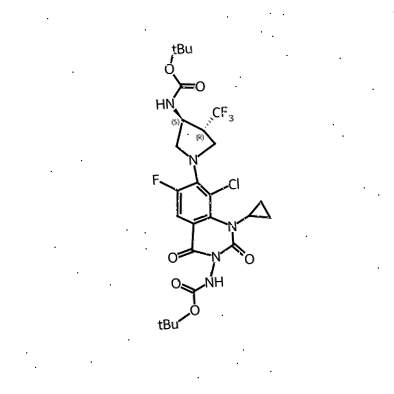 CC(C)(C)OC(=O)N[C@@H]1CN(c2c(F)cc3c(=O)n(NC(=O)OC(C)(C)C)c(=O)n(C4CC4)c3c2Cl)C[C@H]1C(F)(F)F